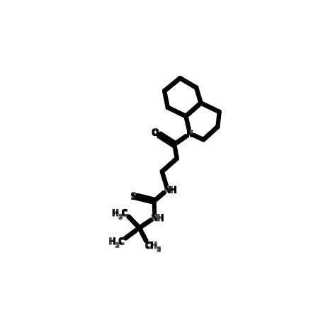 CC(C)(C)NC(=S)NCCC(=O)N1CCCC2CCCCC21